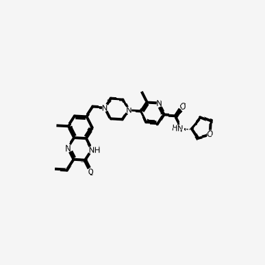 CCc1nc2c(C)cc(CN3CCN(c4ccc(C(=O)N[C@@H]5CCOC5)nc4C)CC3)cc2[nH]c1=O